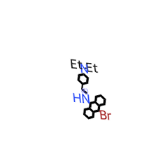 CCN(CC)c1ccc(/C=C/Nc2c3ccccc3c(Br)c3ccccc23)cc1